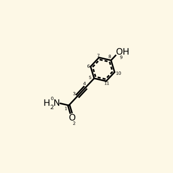 NC(=O)C#Cc1ccc(O)cc1